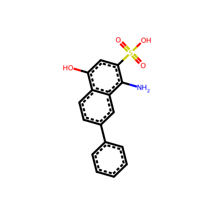 Nc1c(S(=O)(=O)O)cc(O)c2ccc(-c3ccccc3)cc12